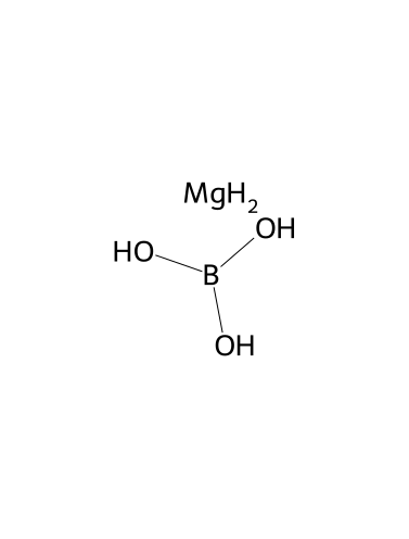 OB(O)O.[MgH2]